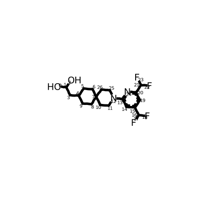 OC(O)CC1CCC2(CC1)CCN(c1cc(C(F)F)cc(C(F)F)n1)CC2